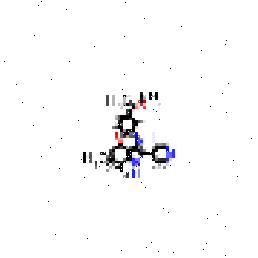 COC(C)c1cccc(Nc2c(-c3ccncc3)[nH]c3c2C(=O)CC(C)(C)C3)c1